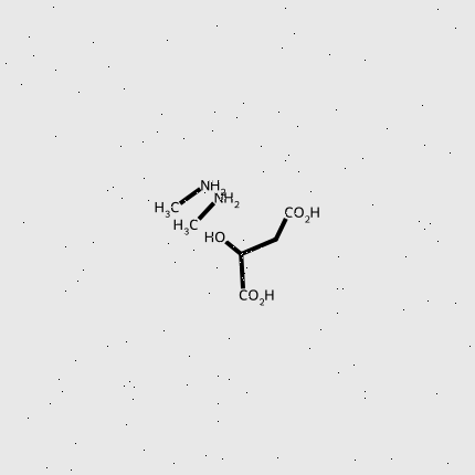 CN.CN.O=C(O)CC(O)C(=O)O